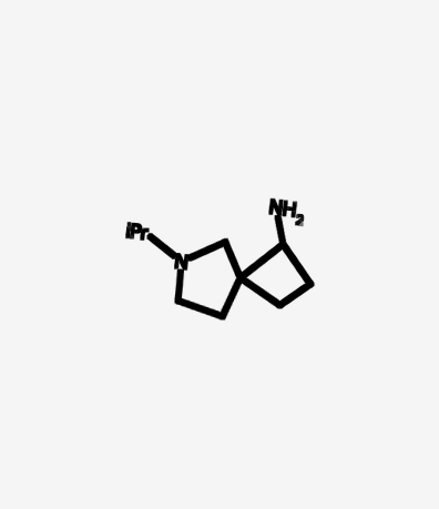 CC(C)N1CCC2(CCC2N)C1